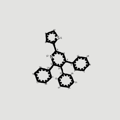 c1ccc(-c2cc(-c3cccs3)nc(-c3ccccc3)c2-c2ccccc2)cc1